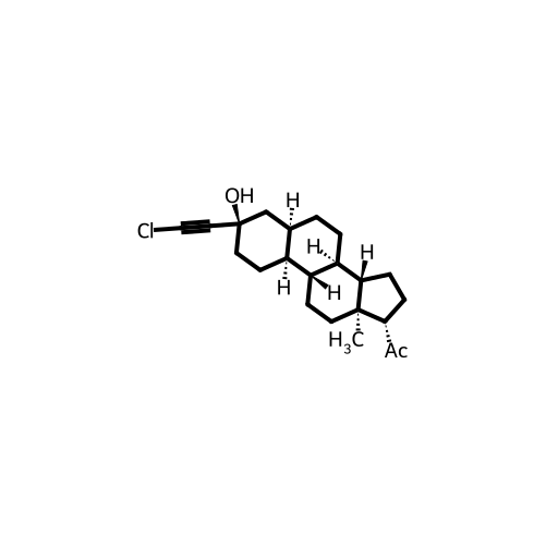 CC(=O)[C@H]1CC[C@H]2[C@@H]3CC[C@@H]4C[C@@](O)(C#CCl)CC[C@@H]4[C@H]3CC[C@]12C